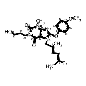 C/C(F)=C\C=C(/C)Cn1c(Oc2ccc(OC(F)(F)F)cc2)nc2c1c(=O)n(CCCO)c(=O)n2C